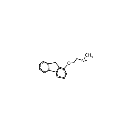 CNCCOc1cccc2c1Cc1ccccc1-2